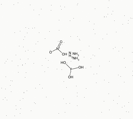 N.N.N.O=[N+]([O-])O.OP(O)O